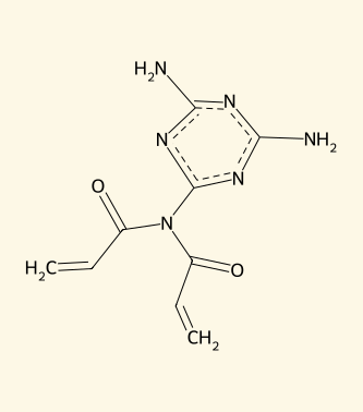 C=CC(=O)N(C(=O)C=C)c1nc(N)nc(N)n1